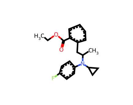 CCOC(=O)c1ccccc1CC(C)N(c1ccc(F)cc1)C1CC1